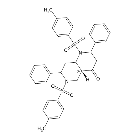 Cc1ccc(S(=O)(=O)N2C[C@H]3C(=O)CC(c4ccccc4)N(S(=O)(=O)c4ccc(C)cc4)C3CC2c2ccccc2)cc1